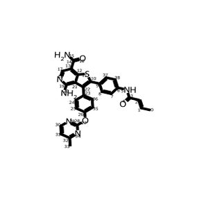 CC=CC(=O)Nc1ccc(-c2sc3c(C(N)=O)cnc(N)c3c2-c2ccc(Oc3nccc(C)n3)cc2)cc1